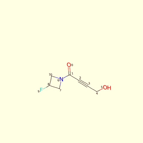 O=C(C#CCO)N1CC(F)C1